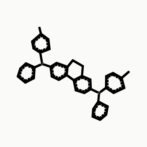 Cc1ccc(N(c2ccccc2)c2ccc3c(c2)CCc2cc(N(c4ccccc4)c4ccc(C)cc4)ccc2-3)cc1